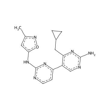 Cc1cc(Nc2nccc(-c3cnc(N)nc3CC3CC3)n2)on1